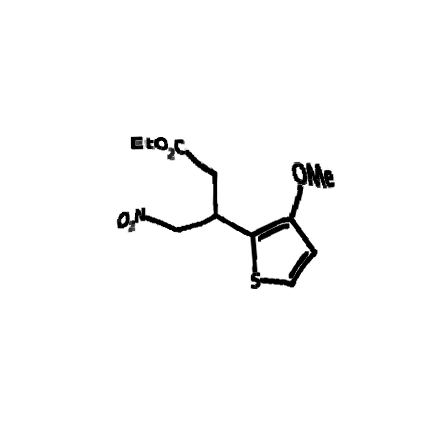 CCOC(=O)CC(C[N+](=O)[O-])c1sccc1OC